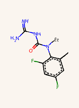 CCN(C(=O)NC(=N)N)c1c(C)cc(F)cc1F